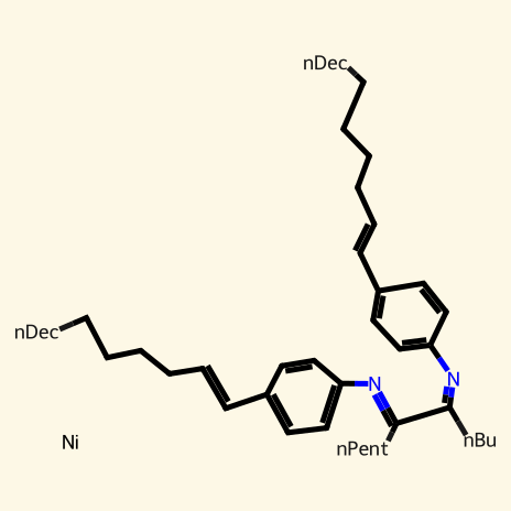 CCCCCCCCCCCCCCC=Cc1ccc(N=C(CCCC)C(CCCCC)=Nc2ccc(C=CCCCCCCCCCCCCCC)cc2)cc1.[Ni]